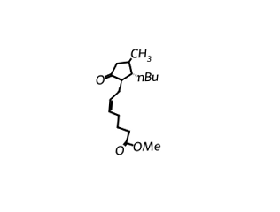 CCCC[C@H]1C(C)CC(=O)[C@@H]1C/C=C\CCCC(=O)OC